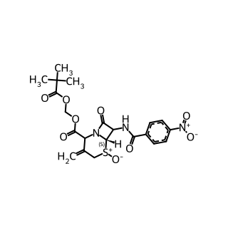 C=C1C[S+]([O-])[C@H]2C(NC(=O)c3ccc([N+](=O)[O-])cc3)C(=O)N2C1C(=O)OCOC(=O)C(C)(C)C